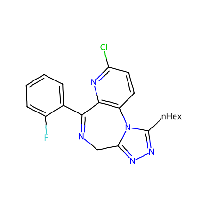 CCCCCCc1nnc2n1-c1ccc(Cl)nc1C(c1ccccc1F)=NC2